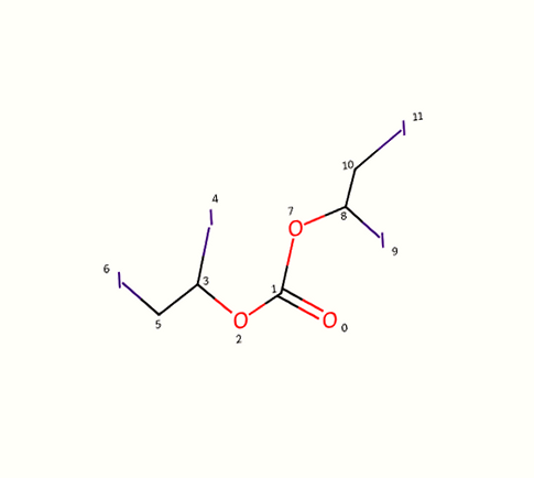 O=C(OC(I)CI)OC(I)CI